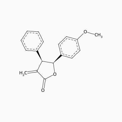 C=C1C(=O)O[C@H](c2ccc(OC)cc2)[C@@H]1c1ccccc1